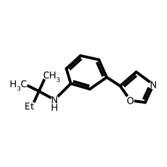 CCC(C)(C)Nc1cccc(-c2cnco2)c1